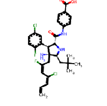 C=C/C=C(Cl)\C=C(\F)C[C@@]1(N)[C@H](CC(C)(C)C)N[C@@H](C(=O)Nc2ccc(C(=O)O)cc2)[C@@H]1c1cc(Cl)ccc1F